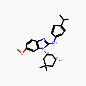 COc1ccc2nc(Nc3ccc(C(C)C)cc3)n([C@@H]3C[C@H](C)CC(C)(C)C3)c2c1